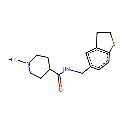 CN1CCC(C(=O)NCc2ccc3c(c2)CCS3)CC1